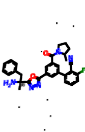 CC1CCCN1C(=O)c1cc(-c2nnc([C@](C)(N)Cc3ccccc3)o2)cc(-c2cccc(F)c2C#N)c1